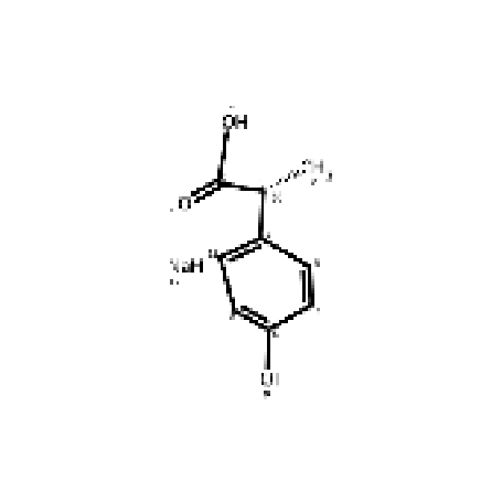 C[C@@H](C(=O)O)c1ccc(O)cc1.[NaH]